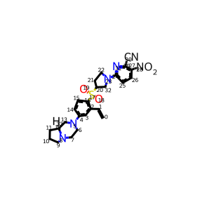 C=Cc1cc(N2CCN3CCC[C@H]3C2)ccc1S(=O)(=O)C1CCN(c2ccc([N+](=O)[O-])c(C#N)n2)C1